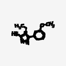 CCn1c(S)nnc1-c1cccc(OC)c1